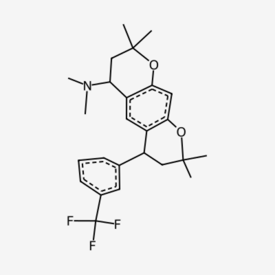 CN(C)C1CC(C)(C)Oc2cc3c(cc21)C(c1cccc(C(F)(F)F)c1)CC(C)(C)O3